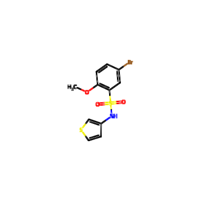 COc1ccc(Br)cc1S(=O)(=O)Nc1ccsc1